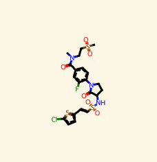 CN(CCS(C)(=O)=O)C(=O)c1ccc(N2CCC(NS(=O)(=O)C=Cc3ccc(Cl)s3)C2=O)c(F)c1